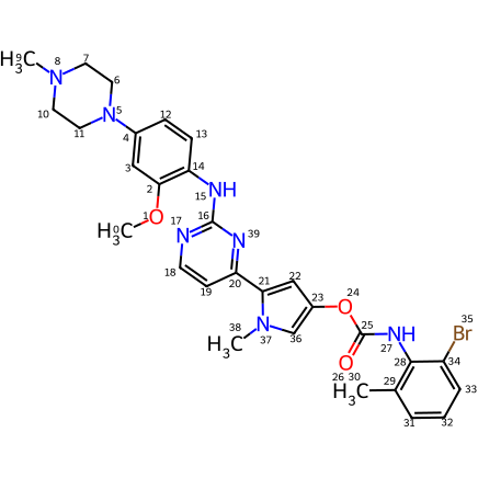 COc1cc(N2CCN(C)CC2)ccc1Nc1nccc(-c2cc(OC(=O)Nc3c(C)cccc3Br)cn2C)n1